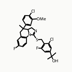 COc1cc(C2(C)Cc3cc(F)ccc3N3C(SCc4c(F)cc(C(C)(C)O)cc4Cl)=NCC32)ccc1Cl